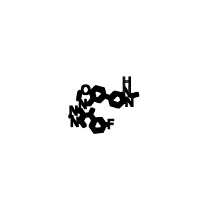 Cc1nc2ccc(-c3ccc4c(c3)CN(c3ncnc(C)c3C(C)c3cccc(F)c3)CCO4)cc2[nH]1